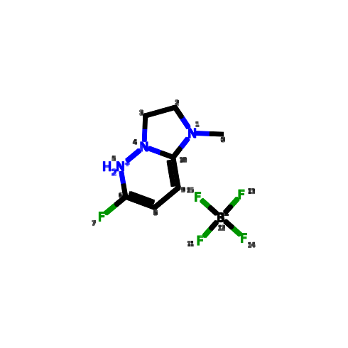 CN1CCN2[NH2+]C(F)=CC=C12.F[B-](F)(F)F